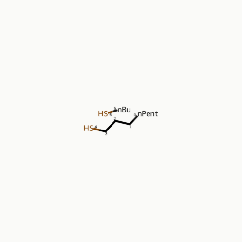 CCCCCCCCS.CCCCS